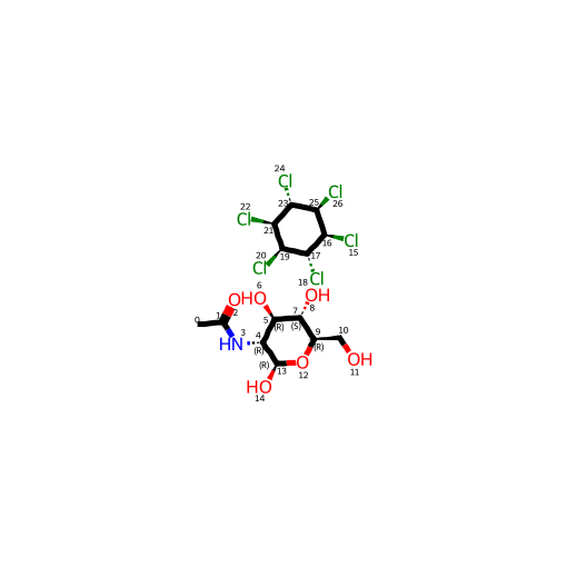 CC(=O)N[C@@H]1[C@@H](O)[C@H](O)[C@@H](CO)O[C@H]1O.Cl[C@H]1[C@H](Cl)[C@@H](Cl)[C@@H](Cl)[C@H](Cl)[C@H]1Cl